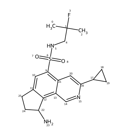 CC(C)(F)CNS(=O)(=O)c1cc2c(c3cnc(C4CC4)cc13)C(N)CC2